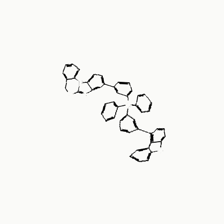 c1ccc([Si](c2ccccc2)(c2cccc(-c3ccc4c(c3)nc3n4-c4ccccc4CO3)c2)c2cccc(-c3cccc4oc5ccccc5c34)c2)cc1